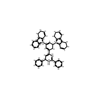 C1=Cc2c(c3c(n2C2C=C(n4c5c(c6ccccc64)CCC=C5)C=C(C4=CC(c5ccccc5)NC(c5ccccc5)=N4)C2)CCC=C3)CC1